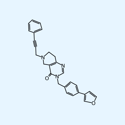 O=c1c2c(ncn1Cc1ccc(-c3ccoc3)cc1)CCN(CC#Cc1ccccc1)C2